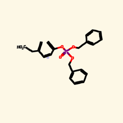 C=C(/C=C\C(=C)OP(=O)(OCc1ccccc1)OCc1ccccc1)CC(=O)O